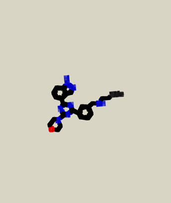 CNCCNCc1cccc(-c2nc(-c3cccc4[nH]ncc34)nc(N3CCOCC3)n2)c1